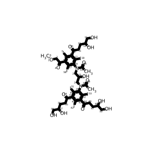 COCC(=O)c1c(I)c(C(=O)CCC(O)CO)c(I)c(N(CC(O)CN(C(C)=O)c2c(I)c(C(=O)CCC(O)CO)c(I)c(C(=O)CCC(O)CO)c2I)C(C)=O)c1I